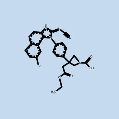 CCOC(=O)CC1(c2ccc(-n3/c(=N\C#N)[nH]c4cnc5ccc(Br)cc5c43)cc2)CN(C(=O)O)C1